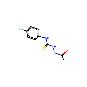 CC(=O)NNC(=S)Nc1ccc(F)cc1